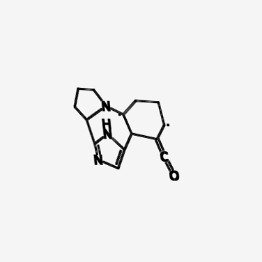 O=C=C1[CH]CC[C]2C1c1cnc([nH]1)C1CCCN21